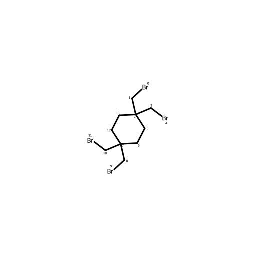 BrCC1(CBr)CCC(CBr)(CBr)CC1